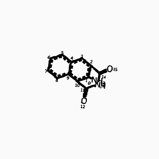 Nc1c2cc3ccccc3c1C(=O)NC2=O